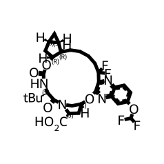 CC(C)(C)[C@@H]1NC(=O)O[C@@H]2C[C@@H]3C[C@@H]3[C@H]2CCCCC(F)(F)c2nc3ccc(OC(F)F)cc3nc2O[C@@H]2C[C@@H](C(=O)O)N(C2)C1=O